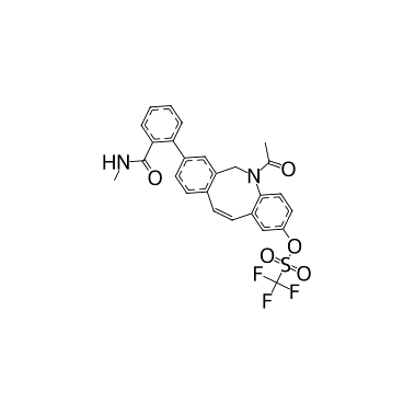 CNC(=O)c1ccccc1-c1ccc2c(c1)CN(C(C)=O)c1ccc(OS(=O)(=O)C(F)(F)F)cc1/C=C\2